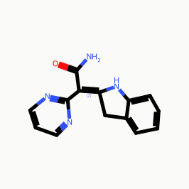 NC(=O)/C(=C1/Cc2ccccc2N1)c1ncccn1